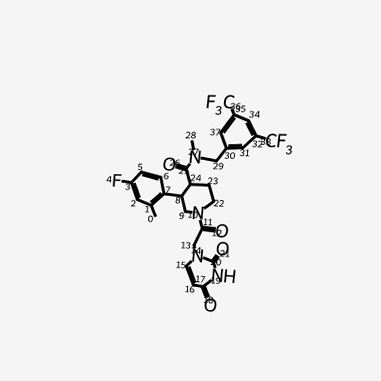 Cc1cc(F)ccc1C1CN(C(=O)Cn2ccc(=O)[nH]c2=O)CCC1C(=O)N(C)Cc1cc(C(F)(F)F)cc(C(F)(F)F)c1